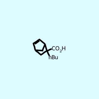 CCCCC1(C(=O)O)CC2C=CC1C2